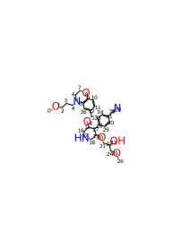 COCCCN1CCOc2ccc(CO[C@H]3CNC[C@@H](OC[C@H](O)COC)C3c3ccc(C#N)cc3)cc21